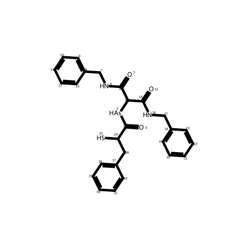 O=C([AsH]C(C(=O)NCc1ccccc1)C(=O)NCc1ccccc1)C(S)Cc1ccccc1